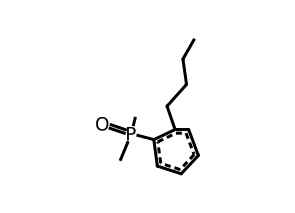 CCCCc1ccccc1P(C)(C)=O